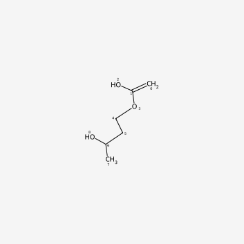 C=C(O)OCCC(C)O